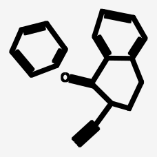 C#CC1CCc2ccccc2C1=O.c1ccccc1